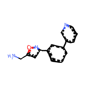 NCc1cc(-c2cccc(-c3cccnc3)c2)no1